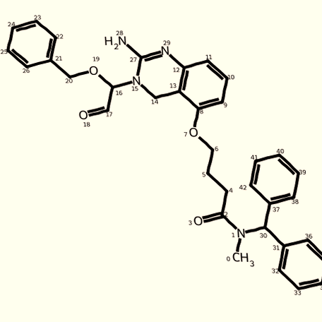 CN(C(=O)CCCOc1cccc2c1CN(C(C=O)OCc1ccccc1)C(N)=N2)C(c1ccccc1)c1ccccc1